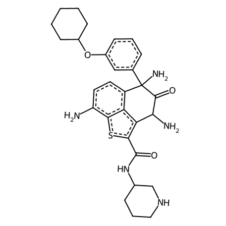 Nc1ccc2c3c(c(C(=O)NC4CCCNC4)sc13)C(N)C(=O)C2(N)c1cccc(OC2CCCCC2)c1